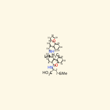 CSCCC(NC(=O)c1ccc(CNCC(=Cc2ccco2)c2ccccc2)cc1-c1ccccc1C)C(=O)O.[LiH]